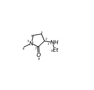 CCNC1CCN(C)C1=O